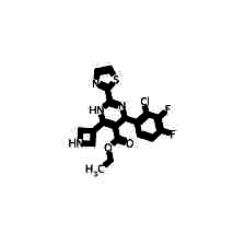 CCOC(=O)C1=C(C2CNC2)NC(c2nccs2)=NC1c1ccc(F)c(F)c1Cl